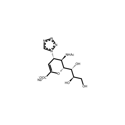 CC(=O)N[C@H]1[C@H]([C@H](O)[C@H](O)CO)OC(C(=O)[O-])=C[C@@H]1n1cnnn1.[Na+]